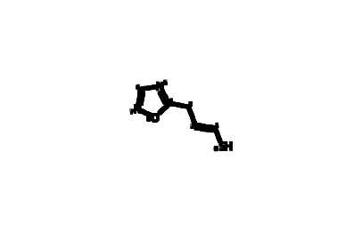 SC=CCc1ncno1